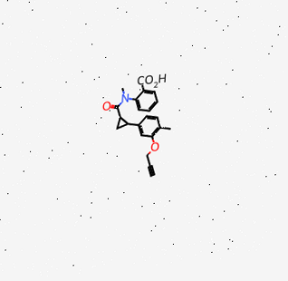 C#CCOc1cc(C2CC2C(=O)N(C)c2ccccc2C(=O)O)ccc1C